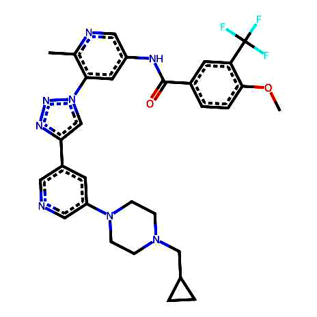 COc1ccc(C(=O)Nc2cnc(C)c(-n3cc(-c4cncc(N5CCN(CC6CC6)CC5)c4)nn3)c2)cc1C(F)(F)F